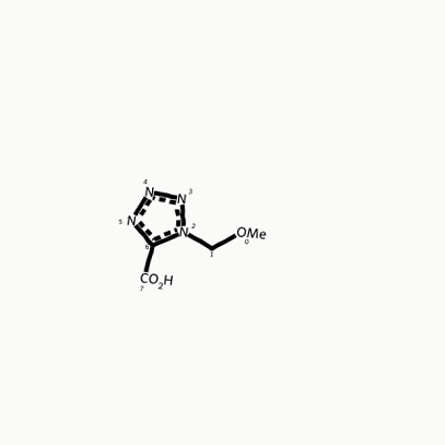 COCn1nnnc1C(=O)O